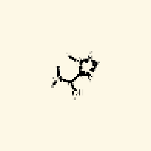 CN(C)C(O)c1ncnn1C